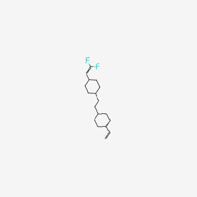 C=CC1CCC(CCC2CCC(C=C(F)F)CC2)CC1